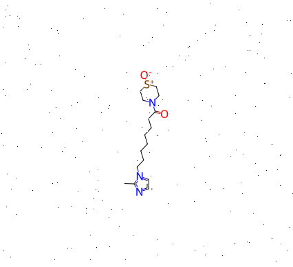 Cc1n[c]cn1CCCCCCCC(=O)N1CC[S+]([O-])CC1